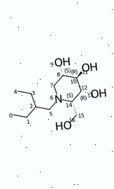 CCC(CC)CN1C[C@H](O)[C@@H](O)[C@H](O)[C@@H]1CO